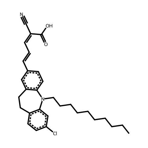 CCCCCCCCCCN1c2ccc(/C=C/C=C(/C#N)C(=O)O)cc2CCc2ccc(Cl)cc21